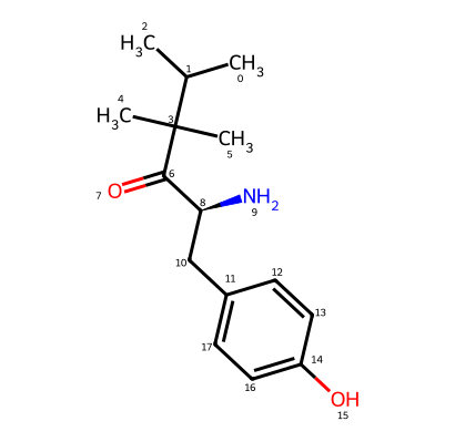 CC(C)C(C)(C)C(=O)[C@@H](N)Cc1ccc(O)cc1